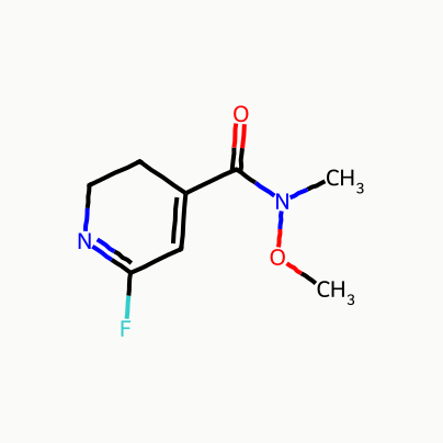 CON(C)C(=O)C1=CC(F)=NCC1